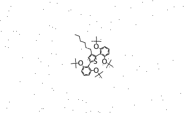 CCCCCCc1cc(-c2c(OC(C)(C)C)cccc2OC(C)(C)C)sc1-c1c(OC(C)(C)C)cccc1OC(C)(C)C